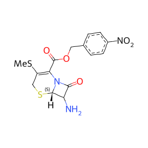 CSC1=C(C(=O)OCc2ccc([N+](=O)[O-])cc2)N2C(=O)C(N)[C@@H]2SC1